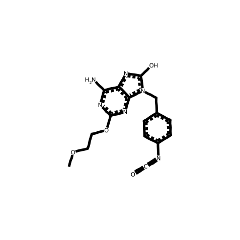 COCCOc1nc(N)c2nc(O)n(Cc3ccc(N=C=O)cc3)c2n1